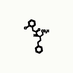 O=C(O)C[C@@H](CCc1ccccc1)NC(=O)Cc1ccccc1Cl